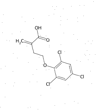 C=C(CCOc1c(Cl)cc(Cl)cc1Cl)C(=O)O